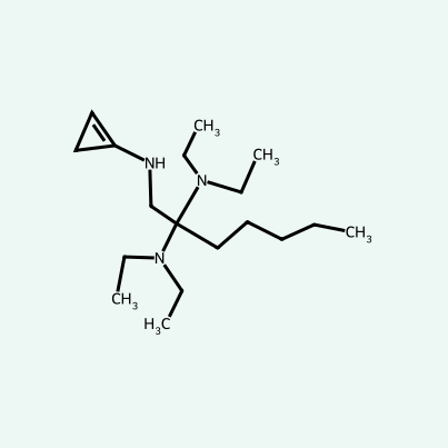 CCCCCC(CNC1=CC1)(N(CC)CC)N(CC)CC